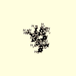 CC(C)C[C@H](NC(=O)[C@H](Cc1c[nH]c2ccccc12)NC(=O)[C@H](CC(N)=O)NC(=O)[C@H](Cc1ccc(O)cc1)NC(=O)[C@@H](N)C(C)C)C(=O)N[C@@H](CCCNC(=N)N)C(=O)N[C@@H](CCCCN)C(=O)N[C@@H](CCCCN)C(=O)N[C@@H](CCCNC(=N)N)C(=O)O